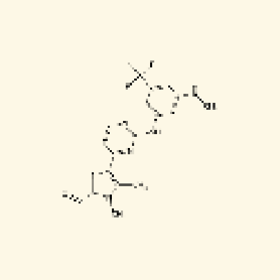 CNc1cc(Nc2nccc(C3=C(C)N(C)C(C=O)S3)n2)cc(C(F)(F)F)c1